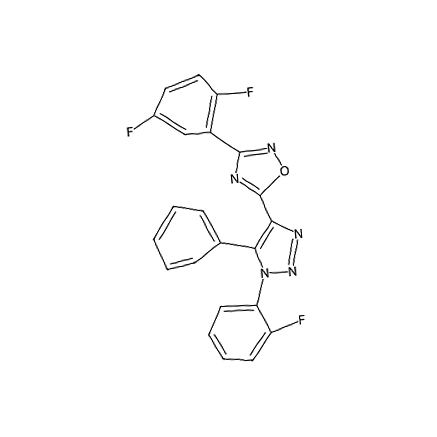 Fc1ccc(F)c(-c2noc(-c3nnn(-c4ccccc4F)c3-c3ccccc3)n2)c1